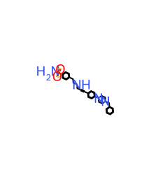 NS(=O)(=O)c1ccc(CCNCC#Cc2ccc(N3CCN(Cc4ccccc4)CC3)cc2)cc1